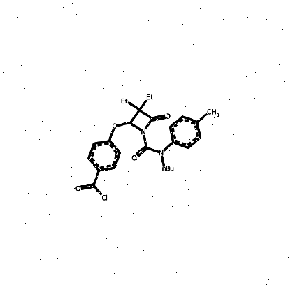 CCCCN(C(=O)N1C(=O)C(CC)(CC)C1Oc1ccc(C(=O)Cl)cc1)c1ccc(C)cc1